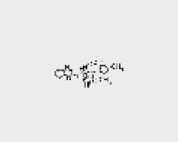 Cc1cc(C)c(C2=C(O)[C@H]3[C@@H](C2=O)[C@@H]2CC(c4cnc5ccccc5n4)[C@H]3O2)c(C)c1